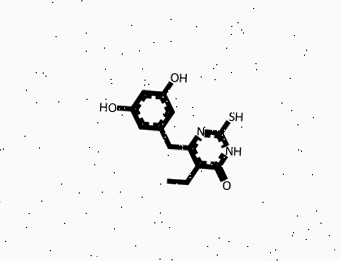 CCc1c(Cc2cc(O)cc(O)c2)nc(S)[nH]c1=O